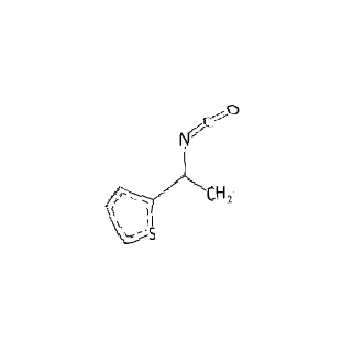 [CH2]C(N=C=O)c1cccs1